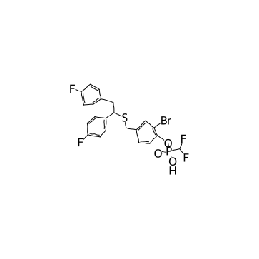 O=P(O)(Oc1ccc(CSC(Cc2ccc(F)cc2)c2ccc(F)cc2)cc1Br)C(F)F